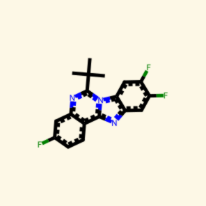 CC(C)(C)c1nc2cc(F)ccc2c2nc3cc(F)c(F)cc3n12